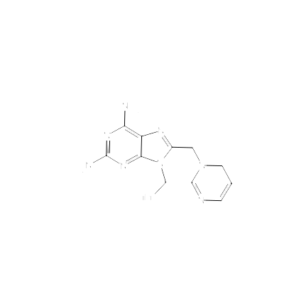 CC(C)Cn1c(CN2C=NC=CC2)nc2c(N)nc(N)nc21